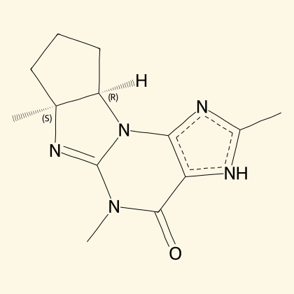 Cc1nc2c([nH]1)C(=O)N(C)C1=N[C@@]3(C)CCC[C@H]3N12